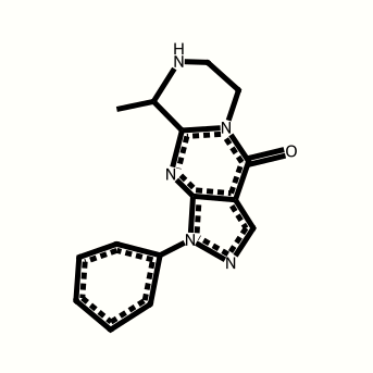 CC1NCCn2c1nc1c(cnn1-c1ccccc1)c2=O